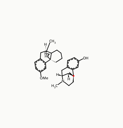 CN1CC[C@]23CCCC[C@H]2[C@H]1Cc1ccc(O)cc13.COc1ccc2c(c1)[C@]13CCCC[C@@H]1[C@H](C2)N(C)CC3